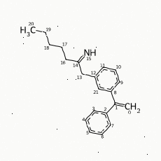 C=C(c1ccccc1)c1cccc(CC(=N)CCCCC)c1